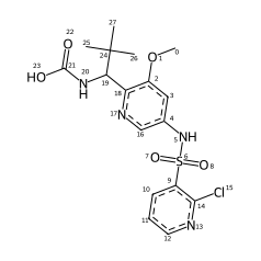 COc1cc(NS(=O)(=O)c2cccnc2Cl)cnc1C(NC(=O)O)C(C)(C)C